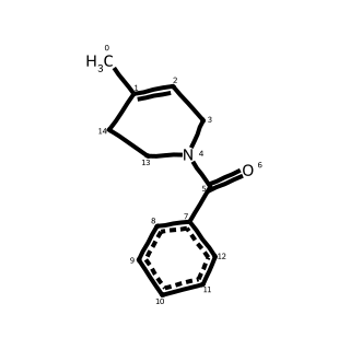 CC1=CCN(C(=O)c2ccccc2)CC1